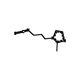 Cc1nccn1CCCN=C=S